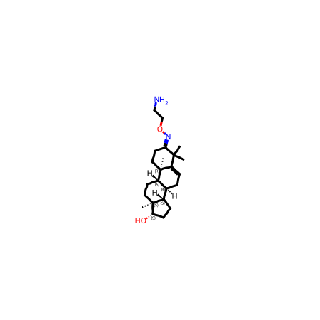 CC1(C)C2=CC[C@H]3[C@@H]4CC[C@H](O)[C@@]4(C)CC[C@@H]3[C@@]2(C)CCC1=NOCCN